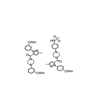 COc1ccc(-n2nc(C)cc2C(=O)N2CCN(c3ccc(NS(C)(=O)=O)cc3)CC2)cc1.COc1cccc(N2CCN(C(=O)c3cc(C)nn3-c3cccc(OC)c3)CC2)c1